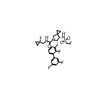 O=C(NCC1(F)CC1)N1CC2(CC2)[C@H](NS(=O)(=O)CF)[C@@H]1Cc1cccc(-c2cc(F)cc(F)c2)c1F